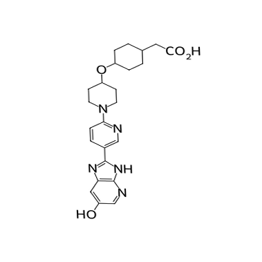 O=C(O)CC1CCC(OC2CCN(c3ccc(-c4nc5cc(O)cnc5[nH]4)cn3)CC2)CC1